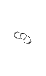 C1#CCC2=C(C1)Cc1c#cccc12